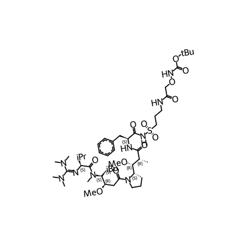 CC[C@H](C)[C@@H]([C@@H](CC(=O)N1CCC[C@H]1[C@H](OC)[C@@H](C)C(=O)N[C@@H](Cc1ccccc1)C(=O)NS(=O)(=O)CCCNC(=O)CONC(=O)OC(C)(C)C)OC)N(C)C(=O)[C@@H](N=C(N(C)C)N(C)C)C(C)C